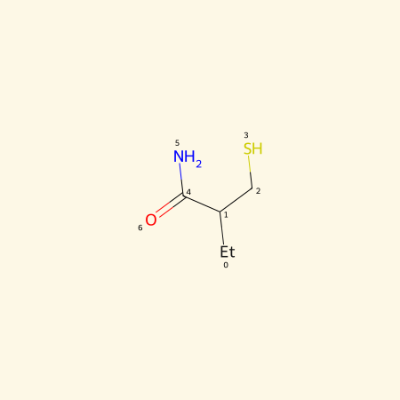 CCC(CS)C(N)=O